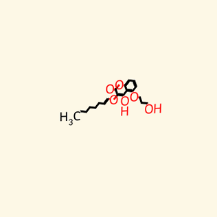 CCCCCCC=COc1c(O)c2c(OCCCO)cccc2oc1=O